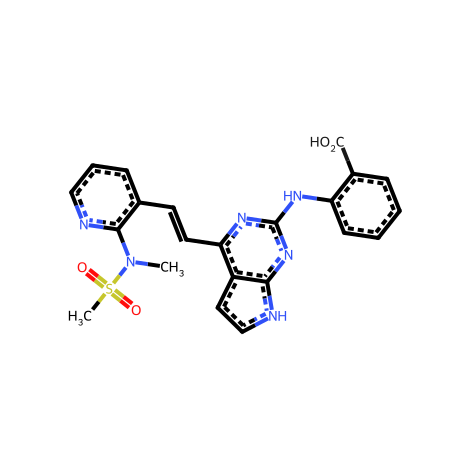 CN(c1ncccc1C=Cc1nc(Nc2ccccc2C(=O)O)nc2[nH]ccc12)S(C)(=O)=O